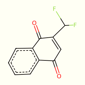 O=C1C=C(C(F)F)C(=O)c2ccccc21